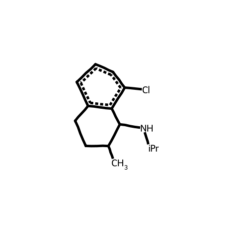 CC(C)NC1c2c(Cl)cccc2CCC1C